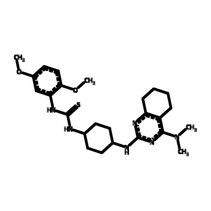 COc1ccc(OC)c(NC(=S)NC2CCC(Nc3nc4c(c(N(C)C)n3)CCCC4)CC2)c1